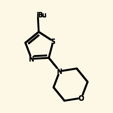 CCC(C)c1cnc(N2CCOCC2)s1